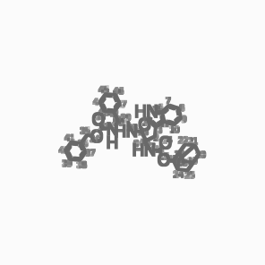 C[C@](Cc1c[nH]c2ccccc12)(NC(=O)OC1C2CC3CC(C2)CC1C3)C(=O)NC[C@H](NC(=O)OCc1ccccc1)c1ccccc1